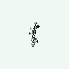 CC1(NC(=O)NC2CCC(Nc3nccc(Nc4cc(C5CCCC5)[nH]n4)n3)CC2)CCOCC1